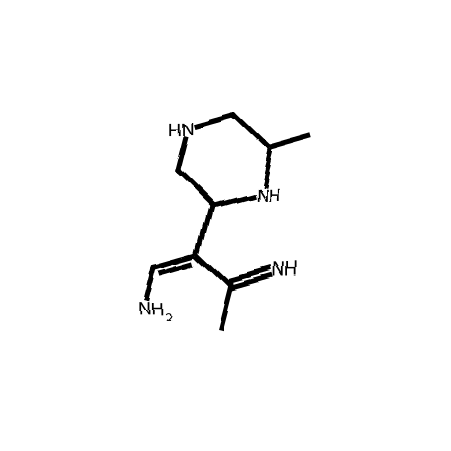 CC(=N)/C(=C\N)C1CNCC(C)N1